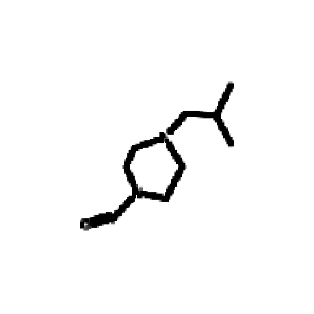 CC(C)CN1CCN([C]=O)CC1